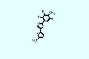 Cc1ccc(-c2cnc(-c3cc(F)c(C)c(F)c3F)s2)s1